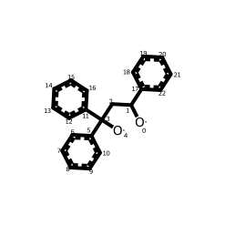 [O]C(CC([O])(c1ccccc1)c1ccccc1)c1ccccc1